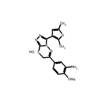 COc1ccc(C2=Nn3c(nnc3-c3cc(C)oc3C)SC2)cc1N.Cl